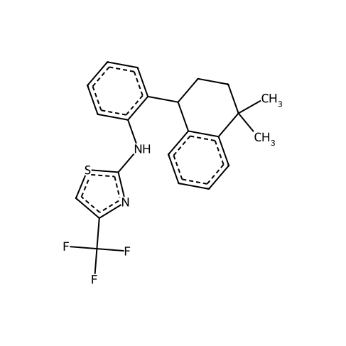 CC1(C)CCC(c2ccccc2Nc2nc(C(F)(F)F)cs2)c2ccccc21